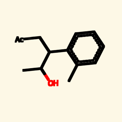 CC(=O)CC(c1ccccc1C)C(C)O